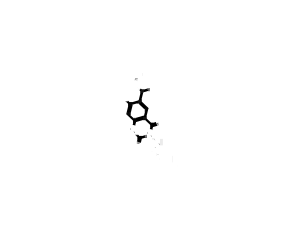 CCOC(CC)c1cc2c(=O)n(N[S+](C)[O-])c(=O)[nH]c2cc1C(F)(F)F